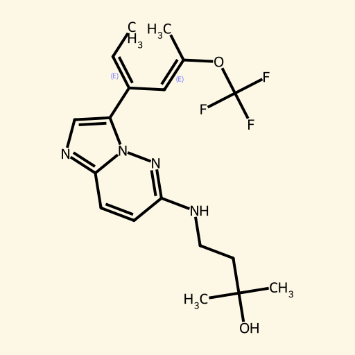 C/C=C(\C=C(/C)OC(F)(F)F)c1cnc2ccc(NCCC(C)(C)O)nn12